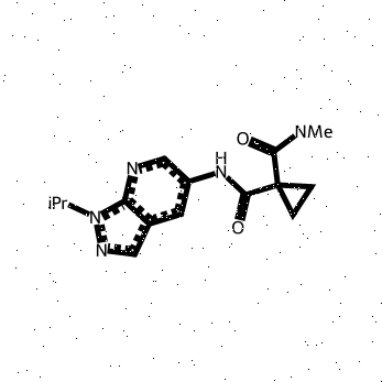 CNC(=O)C1(C(=O)Nc2cnc3c(cnn3C(C)C)c2)CC1